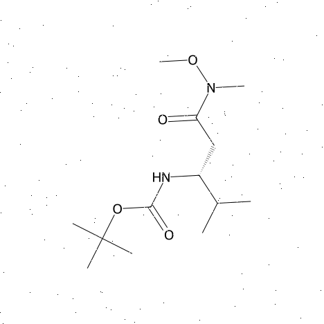 CON(C)C(=O)C[C@@H](NC(=O)OC(C)(C)C)C(C)C